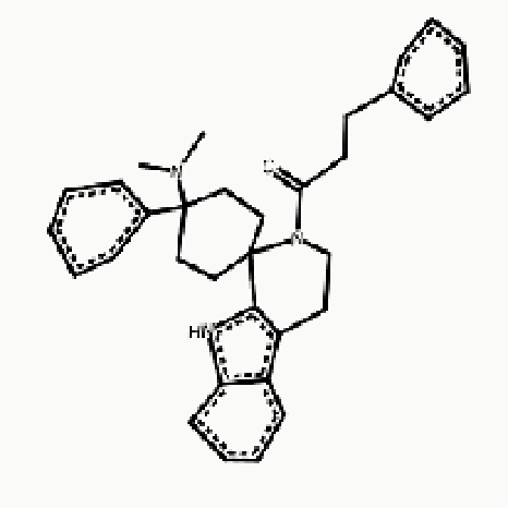 CN(C)C1(c2ccccc2)CCC2(CC1)c1[nH]c3ccccc3c1CCN2C(=O)CCc1ccccc1